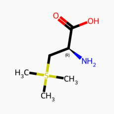 CS(C)(C)C[C@H](N)C(=O)O